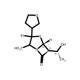 CCC1(C2CCOC2)S[C@@H]2[C@@H]([C@@H](C)O)C(=O)N2C1C(=O)O